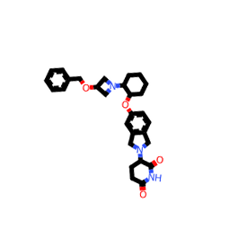 O=C1CCC(N2Cc3ccc(OC4CCCCC4N4CC(OCc5ccccc5)C4)cc3C2)C(=O)N1